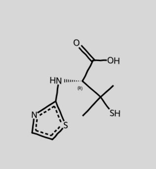 CC(C)(S)[C@H](Nc1nccs1)C(=O)O